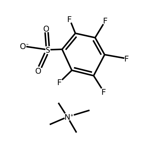 C[N+](C)(C)C.O=S(=O)([O-])c1c(F)c(F)c(F)c(F)c1F